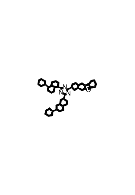 c1ccc(-c2ccc3ccc(-c4nc(-c5ccc6cc7c(cc6c5)oc5ccccc57)nc(-c5cccc6c(-c7ccccc7)cccc56)n4)cc3c2)cc1